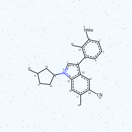 CNc1cccc(-c2cn(C3CCC(C)C3)c3cc(C)c(C#N)cc23)c1C